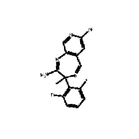 CC1(c2c(F)cccc2F)N=Cc2cc(C(F)(F)F)ncc2N=C1N